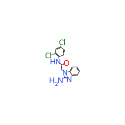 Nc1nc2ccccc2n1CC(=O)Nc1ccc(Cl)cc1Cl